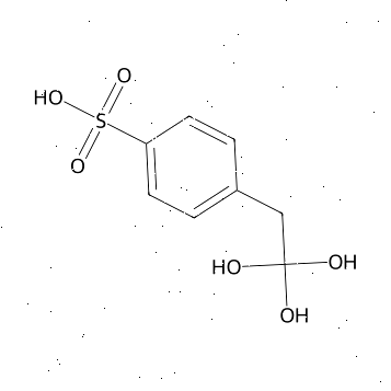 O=S(=O)(O)c1ccc(CC(O)(O)O)cc1